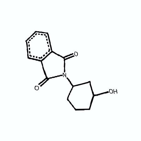 O=C1c2ccccc2C(=O)N1C1CCCC(O)C1